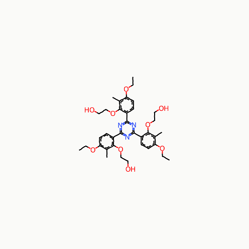 CCOc1ccc(-c2nc(-c3ccc(OCC)c(C)c3OCCO)nc(-c3ccc(OCC)c(C)c3OCCO)n2)c(OCCO)c1C